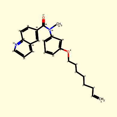 C=CCCCCCCOc1cccc(N(C)C(=O)c2ccc3ncccc3c2)c1